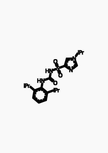 CC(C)c1cccc(C(C)C)c1NC(=O)NS(=O)(=O)c1cn(C(C)C)cn1